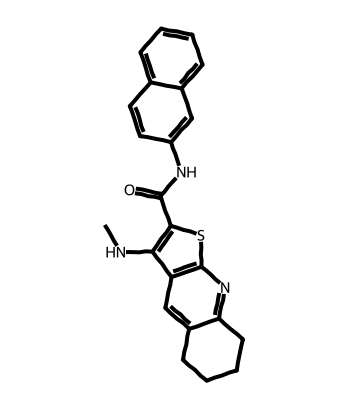 CNc1c(C(=O)Nc2ccc3ccccc3c2)sc2nc3c(cc12)CCCC3